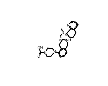 CN(C[C@H]1Cc2c(cccc2N2CCN(C(=O)O)CC2)CN1)[C@H]1CCCc2cccnc21